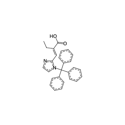 CC/C(=C\c1nccn1C(c1ccccc1)(c1ccccc1)c1ccccc1)C(=O)O